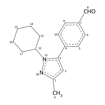 Cc1cc(-c2ccc(C=O)cc2)n(C2CCCCC2)n1